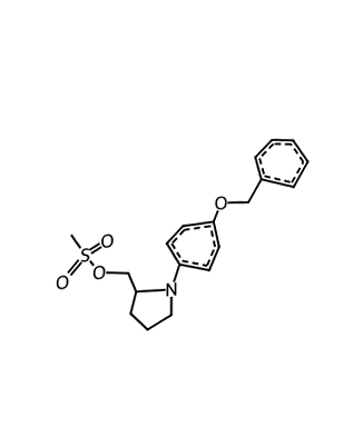 CS(=O)(=O)OCC1CCCN1c1ccc(OCc2ccccc2)cc1